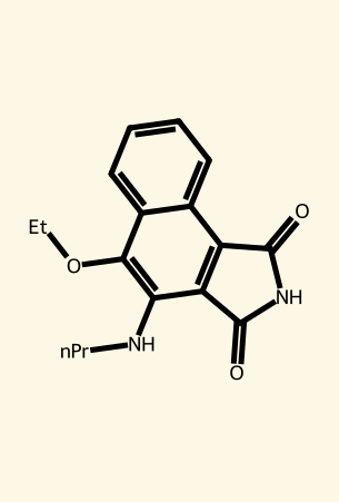 CCCNc1c2c(c3ccccc3c1OCC)C(=O)NC2=O